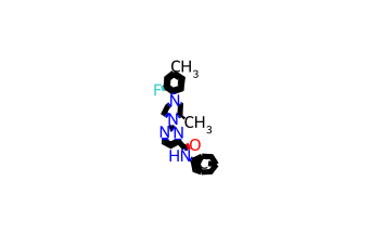 Cc1ccc(N2CCN(c3nccc(C(=O)NC45CC6CC(CC4C6)C5)n3)[C@H](C)C2)c(F)c1